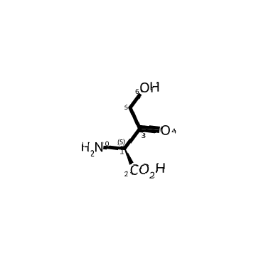 N[C@H](C(=O)O)C(=O)CO